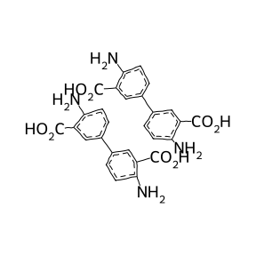 Nc1ccc(-c2ccc(N)c(C(=O)O)c2)cc1C(=O)O.Nc1ccc(-c2ccc(N)c(C(=O)O)c2)cc1C(=O)O